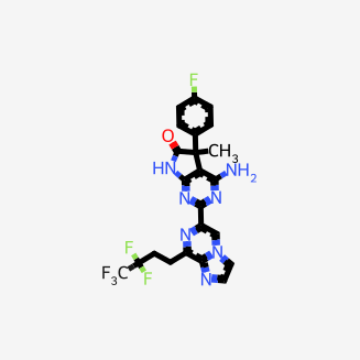 CC1(c2ccc(F)cc2)C(=O)Nc2nc(-c3cn4ccnc4c(CCC(F)(F)C(F)(F)F)n3)nc(N)c21